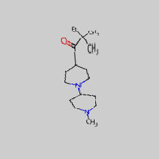 CCC(C)(C)C(=O)C1CCN(C2CCN(C)CC2)CC1